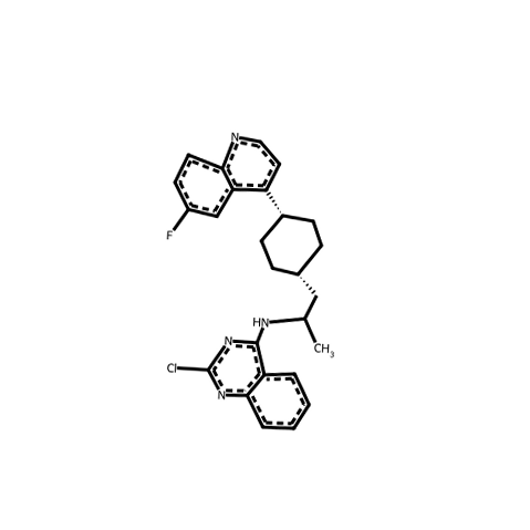 CC(C[C@H]1CC[C@@H](c2ccnc3ccc(F)cc32)CC1)Nc1nc(Cl)nc2ccccc12